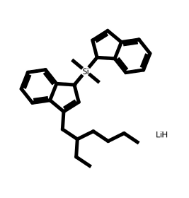 CCCCC(CC)CC1=C[C]([Si](C)(C)C2C=Cc3ccccc32)c2ccccc21.[LiH]